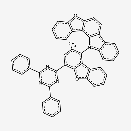 FC(F)(F)c1cc(-c2nc(-c3ccccc3)nc(-c3ccccc3)n2)c2oc3ccccc3c2c1-n1c2ccccc2c2ccc3oc4ccccc4c3c21